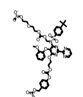 COc1ccccc1Oc1c(OCCOC(=O)Oc2ccc(CO[N+](=O)[O-])cc2)nc(-c2ncccn2)nc1N(COC(=O)OCCOCCO[N+](=O)[O-])S(=O)(=O)c1ccc(C(C)(C)C)cc1